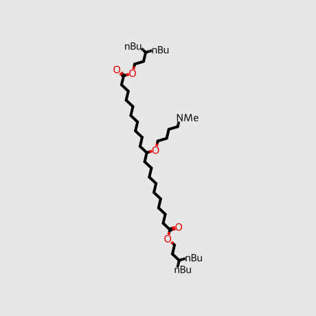 CCCCC(CCCC)CCOC(=O)CCCCCCCCCC(CCCCCCCCCC(=O)OCCC(CCCC)CCCC)OCCCCNC